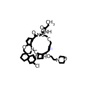 CCC(=O)N[S@@]1(=O)=NC(=O)c2ccc3c(c2)N(C[C@@H]2CC[C@H]2[C@@H](OCCN2CCOCC2)/C=C/CCC1)C[C@@]1(CCCc2cc(Cl)ccc21)CO3